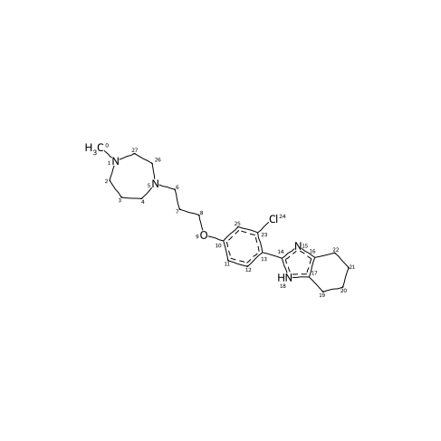 CN1CCCN(CCCOc2ccc(-c3nc4c([nH]3)CCCC4)c(Cl)c2)CC1